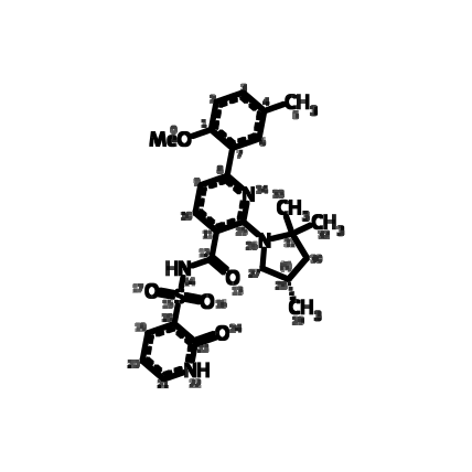 COc1ccc(C)cc1-c1ccc(C(=O)NS(=O)(=O)c2ccc[nH]c2=O)c(N2C[C@@H](C)CC2(C)C)n1